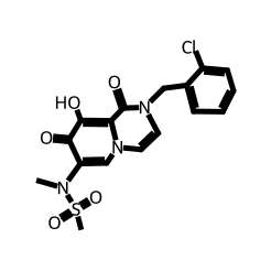 CN(c1cn2ccn(Cc3ccccc3Cl)c(=O)c2c(O)c1=O)S(C)(=O)=O